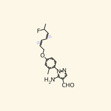 Cc1cc(OC/C=C\C=C/C(C)F)ccc1-n1ncc(C=O)c1N